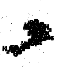 CCC(CO)OC(COC(=O)NCCC(=O)NCCNC(=O)CCOCCOCCNC(=O)CCN1C(=O)CC(SCC(N)C(=O)O)C1=O)OCCC(CO)OC(COC(=O)NCCC(=O)N[C@@H](C)C(=O)OCCCNC(=O)[C@H](Cc1ccccc1)NC(=O)[C@H](C)[C@@H](OC)[C@@H]1CCCN1C(=O)C[C@@H](OC)[C@H](C(C)CC)N(C)C(=O)[C@@H](NC(=O)[C@@H](NC)C(C)C)C(C)C)OC